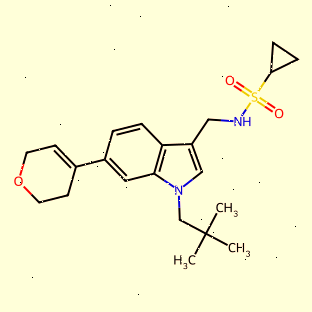 CC(C)(C)Cn1cc(CNS(=O)(=O)C2CC2)c2ccc(C3=CCOCC3)cc21